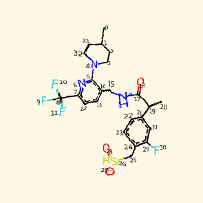 CC1CCN(c2nc(C(F)(F)F)ccc2CNC(=O)C(C)c2ccc(C[SH](=O)=O)c(F)c2)CC1